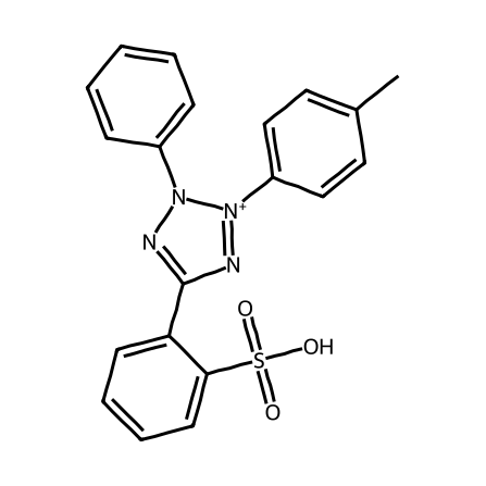 Cc1ccc(-[n+]2nc(-c3ccccc3S(=O)(=O)O)nn2-c2ccccc2)cc1